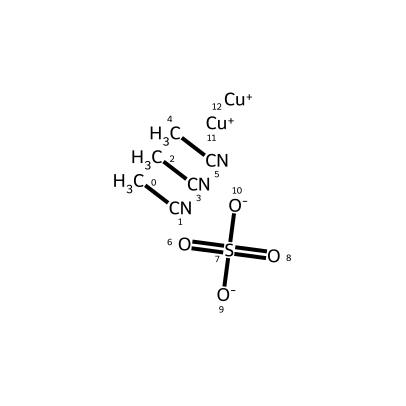 CC#N.CC#N.CC#N.O=S(=O)([O-])[O-].[Cu+].[Cu+]